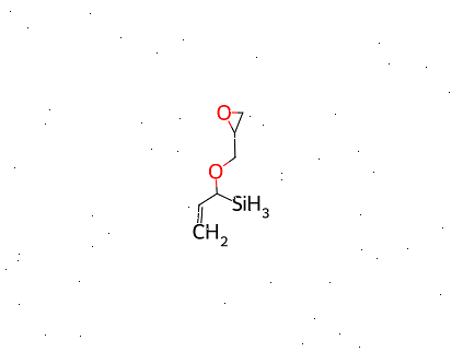 C=CC([SiH3])OCC1CO1